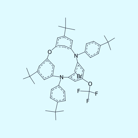 CC(C)(C)c1ccc(N2c3cc(cc(C(C)(C)C)c3)Oc3cc(cc(C(C)(C)C)c3)N(c3ccc(C(C)(C)C)cc3)c3cc(OC(F)(F)F)cc2c3Br)cc1